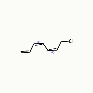 C=C/C=C\C=C/CCl